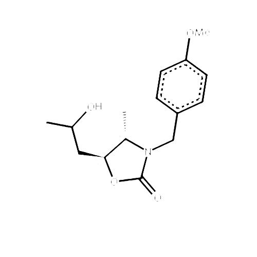 COc1ccc(CN2C(=O)O[C@@H](CC(C)O)[C@@H]2C)cc1